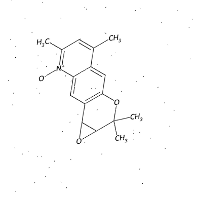 Cc1cc(C)[n+]([O-])c2cc3c(cc12)OC(C)(C)C1OC31